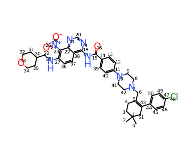 CC1(C)CCC(CN2CCN(c3ccc(C(=O)Nc4ncnc5c([N+](=O)[O-])c(NCC6CCOCC6)ccc45)cc3)CC2)=C(c2ccc(Cl)cc2)C1